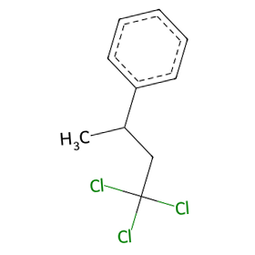 CC(CC(Cl)(Cl)Cl)c1ccccc1